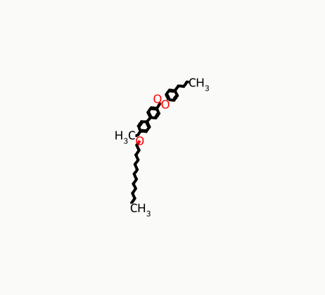 CCCCCCCCCCCCCCOC(C)c1ccc(-c2ccc(C(=O)Oc3ccc(CCCC)cc3)cc2)cc1